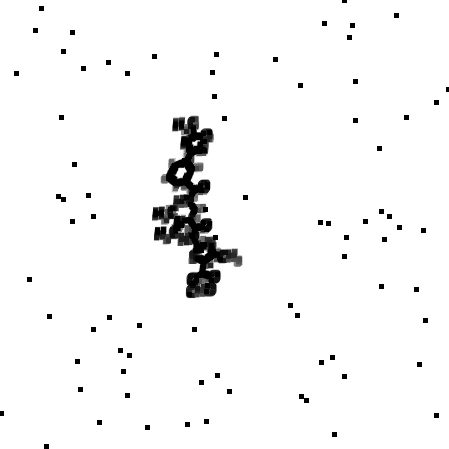 Cc1nc(-c2cccc(C(=O)NC[C@@H](C(=O)Nc3nc(C)c(C(=O)OC=O)s3)N(C)C)c2)no1